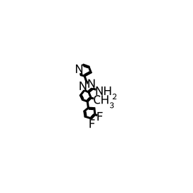 Cc1c(-c2ccc(F)c(F)c2)ccc2nc(-c3cccnc3)nc(N)c12